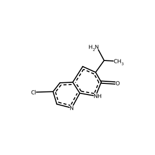 CC(N)c1cc2cc(Cl)cnc2[nH]c1=O